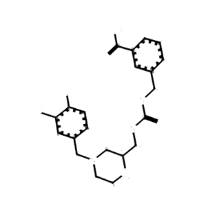 O=C(NCc1cccc(C(=O)O)c1)NCC1CN(Cc2ccc(Cl)c(Cl)c2)CCO1